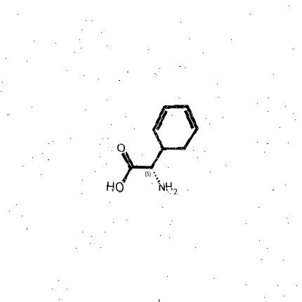 N[C@H](C(=O)O)C1C=CC=CC1